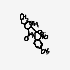 CCC1=CNC2C(=O)N(c3ccc(C)cc3[N+](=O)[O-])C(=O)C2C1